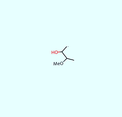 [CH2]C(O)C(C)OC